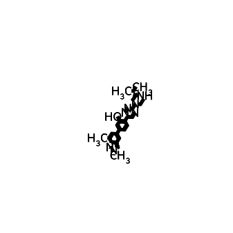 Cc1cc(-c2ccc(-c3cnc(N4CCN[C@@H](C(C)C)C4)nn3)c(O)c2)cc2cn(C)nc12